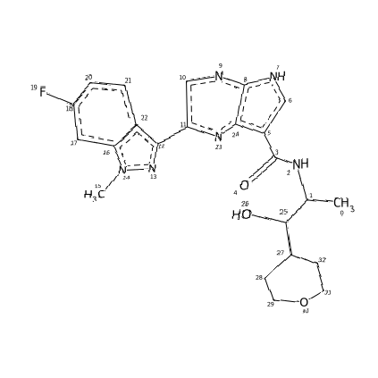 CC(NC(=O)c1c[nH]c2ncc(-c3nn(C)c4cc(F)ccc34)nc12)C(O)C1CCOCC1